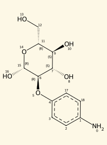 Nc1ccc(O[C@@H]2[C@@H](O)[C@H](O)[C@@H](CO)O[C@H]2O)cc1